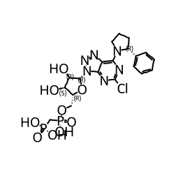 O=P(O)(O)CP(=O)(O)OC[C@H]1O[C@@H](n2nnc3c(N4CCC[C@@H]4c4ccccc4)nc(Cl)nc32)[C@H](O)[C@@H]1O